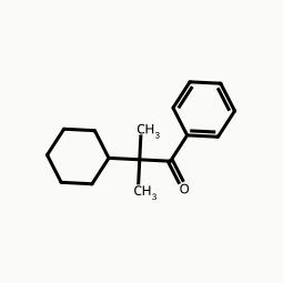 CC(C)(C(=O)c1ccccc1)C1CCCCC1